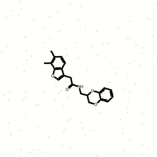 Cc1ccc2c(CC(=O)NCC3COc4ccccc4O3)coc2c1C